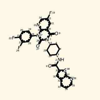 O=C(N[C@H]1CC[C@@H](n2c(=O)c3cc(F)cnc3n(-c3ccc(F)c(F)c3)c2=O)CC1)c1cc2cccnc2s1